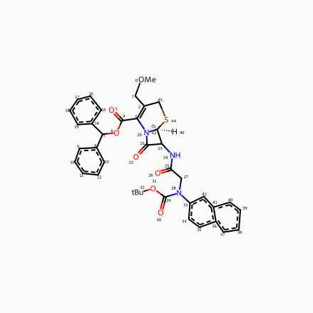 COCC1=C(C(=O)OC(c2ccccc2)c2ccccc2)N2C(=O)C(NC(=O)CN(C(=O)OC(C)(C)C)c3ccc4ccccc4c3)[C@@H]2SC1